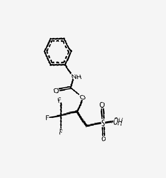 O=C(Nc1ccccc1)OC(CS(=O)(=O)O)C(F)(F)F